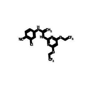 C=C(Nc1ccc(C#N)c(Cl)c1)Nc1nc(OCC(F)(F)F)cc(OCC(F)(F)F)n1